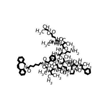 CC[C@H](C)[C@@H](CCC(=O)N1CCC[C@H]1[C@H](OC)[C@@H](C)C(=O)N[C@H](C)[C@@H](O)c1ccccc1)N(C)C(=O)[C@@H](NC(=O)C(C(C)C)N(C)C(=O)OC(C(=O)NCCCCCC(=O)N1Cc2ccccc2C#Cc2ccccc21)c1ccc(NC(=O)[C@H](CCCN)NC(=O)C(NC(=O)[C@H](CCC(=O)OCC(C)C)NOC)C(C)C)cc1)C(C)C